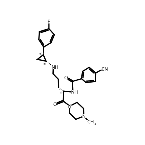 CN1CCN(C(=O)[C@H](CCCN[C@@H]2C[C@H]2c2ccc(F)cc2)NC(=O)c2ccc(C#N)cc2)CC1